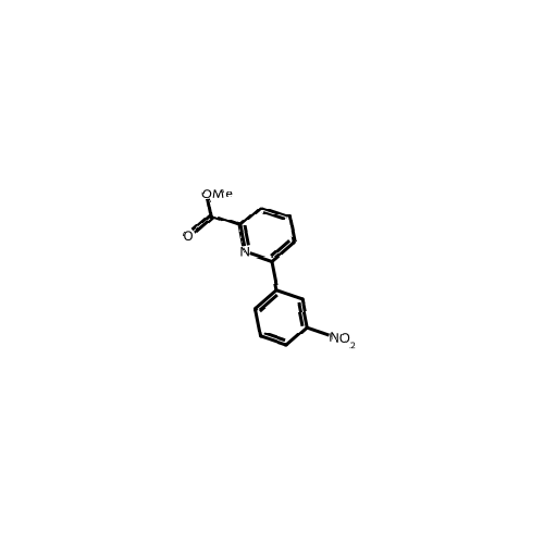 COC(=O)c1cccc(-c2cccc([N+](=O)[O-])c2)n1